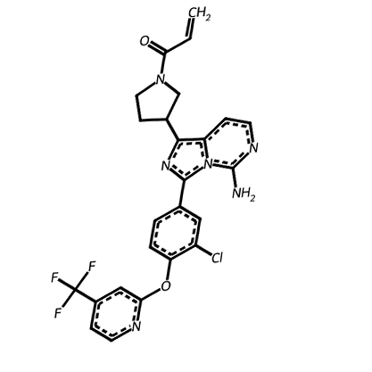 C=CC(=O)N1CCC(c2nc(-c3ccc(Oc4cc(C(F)(F)F)ccn4)c(Cl)c3)n3c(N)nccc23)C1